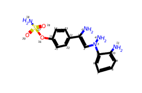 N/C(=C\N(N)c1ccccc1N)c1ccc(OS(N)(=O)=O)cc1